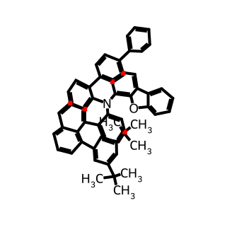 CC(C)(C)c1cc(-c2cccc3cccc(-c4ccccc4N(c4ccccc4-c4ccc(-c5ccccc5)cc4)c4cccc5c4oc4ccccc45)c23)cc(C(C)(C)C)c1